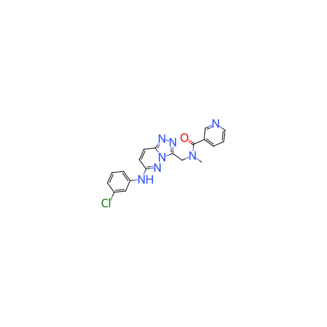 CN(Cc1nnc2ccc(Nc3cccc(Cl)c3)nn12)C(=O)c1cccnc1